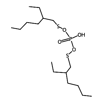 CCCCC(CC)CSOP(=O)(O)OSCC(CC)CCCC